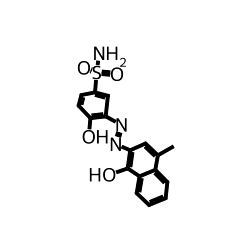 Cc1cc(N=Nc2cc(S(N)(=O)=O)ccc2O)c(O)c2ccccc12